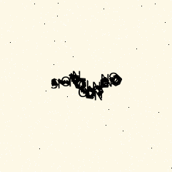 Cc1nc2ccc(Oc3ccc4ncc(-c5cnn(C6CCCCO6)c5)nc4c3Cl)cc2n1COCC[Si](C)(C)C